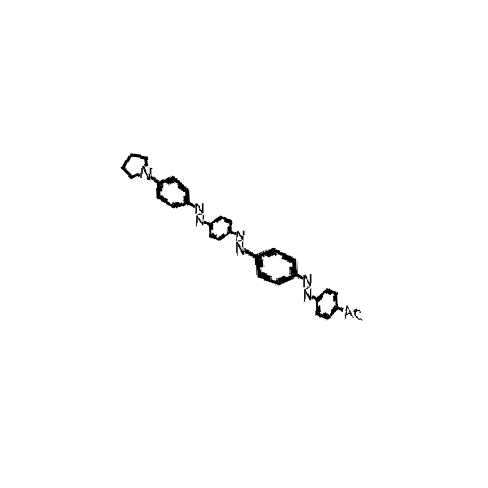 CC(=O)c1ccc(N=Nc2ccc(N=Nc3ccc(N=Nc4ccc(N5CCCC5)cc4)cc3)cc2)cc1